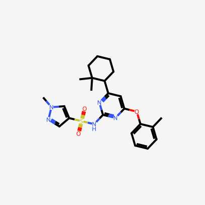 Cc1ccccc1Oc1cc(C2CCCCC2(C)C)nc(NS(=O)(=O)c2cnn(C)c2)n1